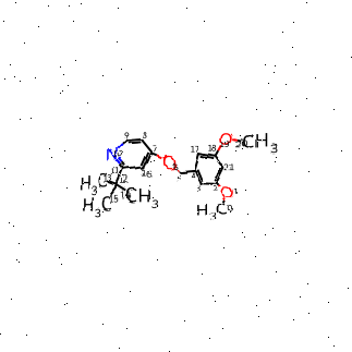 COc1cc(COc2ccnc(C(C)(C)C)c2)cc(OC)c1